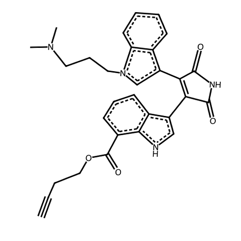 C#CCCOC(=O)c1cccc2c(C3=C(c4cn(CCCN(C)C)c5ccccc45)C(=O)NC3=O)c[nH]c12